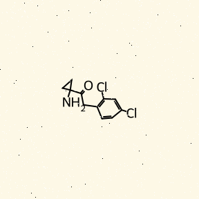 NC1(C(=O)Cc2ccc(Cl)cc2Cl)CC1